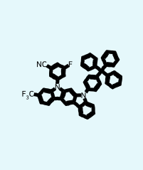 N#Cc1cc(F)cc(-n2c3cc(C(F)(F)F)ccc3c3cc4c5ccccc5n(-c5ccc(C(c6ccccc6)(c6ccccc6)c6ccccc6)cc5)c4cc32)c1